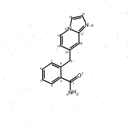 NC(=O)c1ccccc1Cc1ccn2ccnc2c1